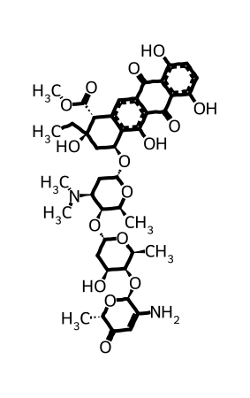 CC[C@@]1(O)C[C@H](O[C@H]2C[C@H](N(C)C)[C@H](O[C@H]3C[C@H](O)[C@H](O[C@@H]4O[C@@H](C)C(=O)C=C4N)[C@H](C)O3)[C@H](C)O2)c2c(cc3c(c2O)C(=O)c2c(O)ccc(O)c2C3=O)[C@H]1C(=O)OC